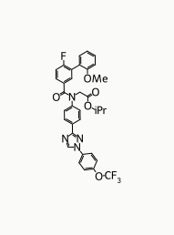 COc1ccccc1-c1cc(C(=O)N(CC(=O)OC(C)C)c2ccc(-c3ncn(-c4ccc(OC(F)(F)F)cc4)n3)cc2)ccc1F